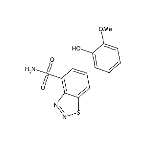 COc1ccccc1O.NS(=O)(=O)c1cccc2snnc12